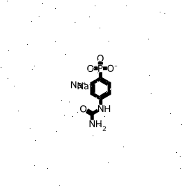 NC(=O)Nc1ccc(P(=O)([O-])[O-])cc1.[Na+].[Na+]